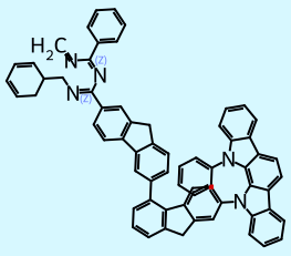 C=N/C(=N\C(=N/CC1C=CC=CC1)c1ccc2c(c1)Cc1ccc(-c3cccc4c3-c3ccc(-n5c6ccccc6c6ccc7c8ccccc8n(-c8ccccc8)c7c65)cc3C4)cc1-2)c1ccccc1